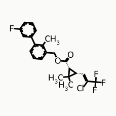 Cc1c(COC(=O)[C@@H]2[C@H](/C=C(\Cl)C(F)(F)F)C2(C)C)cccc1-c1cccc(F)c1